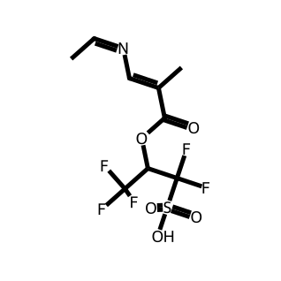 C/C=N\C=C(/C)C(=O)OC(C(F)(F)F)C(F)(F)S(=O)(=O)O